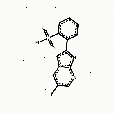 CCS(=O)(=O)c1ccccc1-c1cn2cc(I)cnc2n1